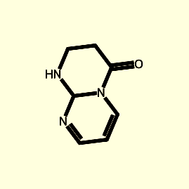 O=C1CCNC2N=CC=CN12